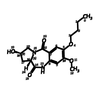 CCCCOc1cc2c(cc1OC)NC(=O)[C@@H]1C[C@@H](O)CN1C2=O